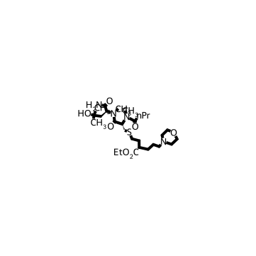 CCCC(=O)N(C)[C@H](CSCC[C@@H](CCCN1CCOCC1)C(=O)OCC)C(=O)N(C)[C@@H](CC(C)(C)O)C(N)=O